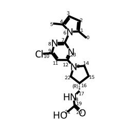 Cc1ccc(C)n1-c1nc(Cl)cc(N2CC[C@H](CNC(=O)O)C2)n1